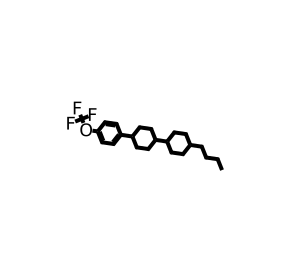 CCCCC1CCC(C2CCC(c3ccc(OC(F)(F)F)cc3)CC2)CC1